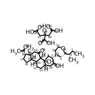 CC[C@H](C)[C@@H]1CN([C@H]2C[C@@]3(C)[C@@H](CC[C@H]4[C@@H]5CC[C@H](C(C)=O)[C@@]5(C)CC(=O)[C@@H]43)C[C@@H]2O)CCO1.O=C(O)CC(O)(CC(=O)O)C(=O)O